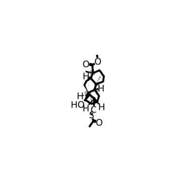 COC(=O)[C@]1(C)CCC[C@@]2(C)[C@@H]3C[C@@H]4CC[C@@]3(CC[C@@H]21)[C@H](O)[C@H]4CSC(C)=O